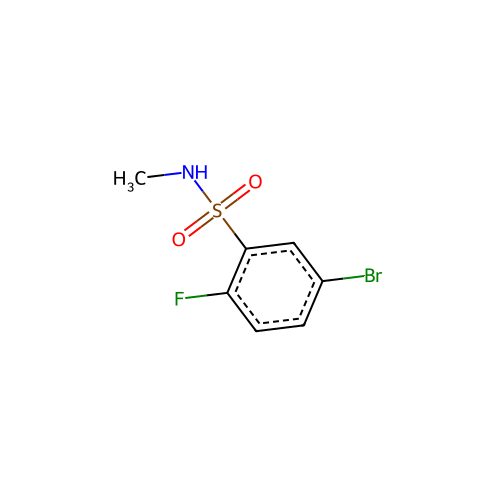 CNS(=O)(=O)c1cc(Br)ccc1F